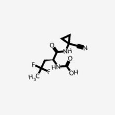 CC(F)(F)C[C@H](NC(=O)O)C(=O)NC1(C#N)CC1